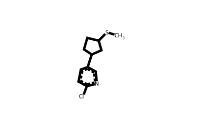 CSC1CCC(c2ccc(Cl)nc2)C1